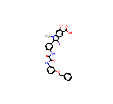 Cn1c(-c2cccc(NC(=O)C(=O)Nc3cccc(OCc4ccccc4)c3)c2)c(I)c2cc(C(=O)O)c(O)cc21